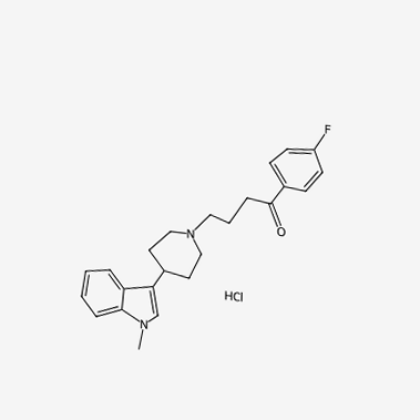 Cl.Cn1cc(C2CCN(CCCC(=O)c3ccc(F)cc3)CC2)c2ccccc21